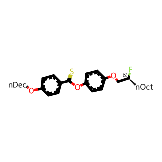 CCCCCCCCCCOc1ccc(C(=S)Oc2ccc(OC[C@@H](F)CCCCCCCC)cc2)cc1